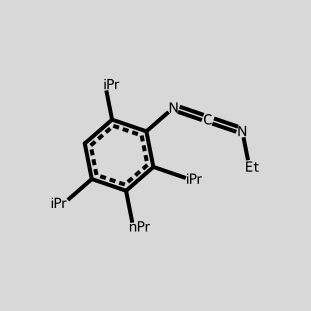 CCCc1c(C(C)C)cc(C(C)C)c(N=C=NCC)c1C(C)C